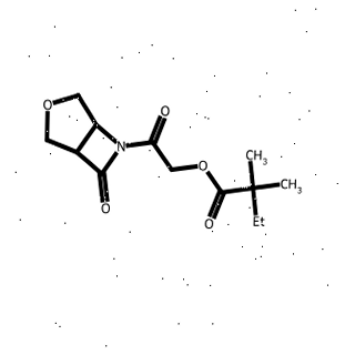 CCC(C)(C)C(=O)OCC(=O)N1C(=O)C2COCC21